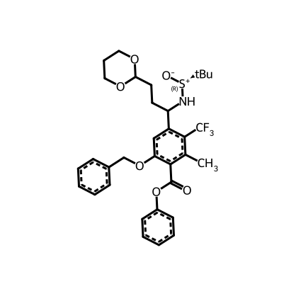 Cc1c(C(=O)Oc2ccccc2)c(OCc2ccccc2)cc(C(CCC2OCCCO2)N[S@@+]([O-])C(C)(C)C)c1C(F)(F)F